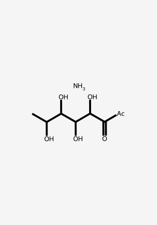 CC(=O)C(=O)C(O)C(O)C(O)C(C)O.N